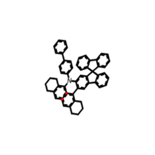 c1ccc(-c2ccc(N(c3cc4c(cc3-c3cccc5c3CCCC5)-c3ccccc3C43c4ccccc4-c4ccccc43)c3cccc4c3CCCC4)cc2)cc1